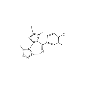 Cc1c(I)sc2c1C(C1=CC(C)C(Cl)C=C1)=NCc1nnc(C)n1-2